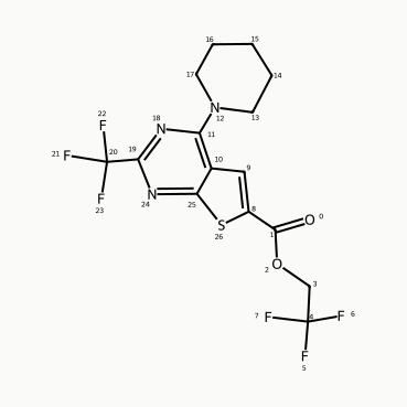 O=C(OCC(F)(F)F)c1cc2c(N3CCCCC3)nc(C(F)(F)F)nc2s1